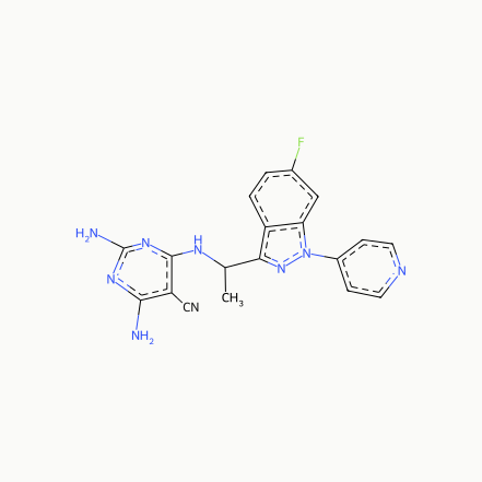 CC(Nc1nc(N)nc(N)c1C#N)c1nn(-c2ccncc2)c2cc(F)ccc12